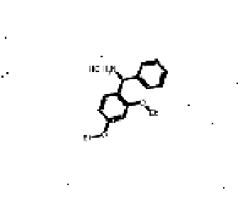 CCOc1ccc(C(N)c2ccccc2)c(OCC)c1.Cl